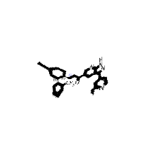 Cc1cc(-c2n[nH]c3ncc(C(=O)/C=C/[C@@H]4CCC(C)C[C@H]4c4ccccc4C(F)(F)F)cc23)ccn1